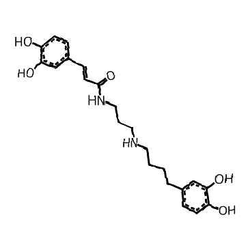 O=C(/C=C/c1ccc(O)c(O)c1)NCCCNCCCCc1ccc(O)c(O)c1